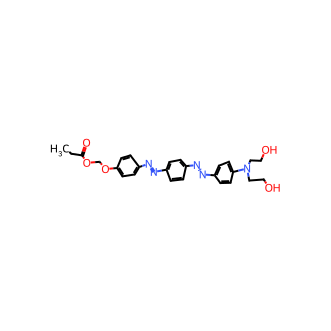 CCC(=O)OCOc1ccc(N=Nc2ccc(N=Nc3ccc(N(CCO)CCO)cc3)cc2)cc1